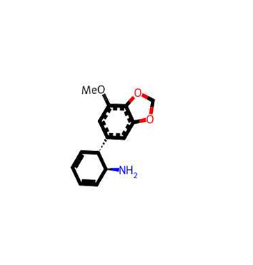 COc1cc([C@H]2C=CC=C[C@@H]2N)cc2c1OCO2